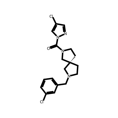 O=C(N1CC[C@@]2(CCN(Cc3cccc(Cl)c3)C2)C1)n1cc(Cl)cn1